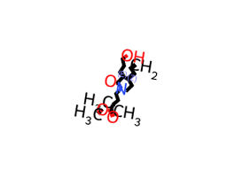 C=C/C=C1/CCN(CCC(C)(C)C(=O)OC)C(=O)/C1=C/CCO